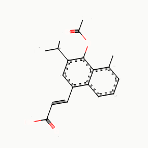 CC(=O)Oc1c(C(C)C)cc(C=CC(=O)O)c2cccc(C)c12